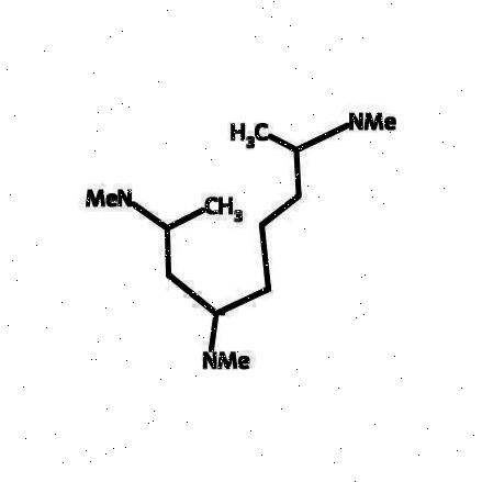 CN[C](CCCC(C)NC)CC(C)NC